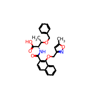 Cc1cc(COc2c(C(=O)N[C@H](C(=O)O)[C@@H](C)OCc3ccccc3)ccc3ccccc23)no1